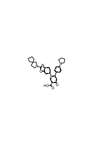 O=C(O)c1cn(-c2ccc3nc(N4CCC5(CCCC5)C4)oc3c2)c(-c2ccc(N3CCCC3)cc2)cc1=O